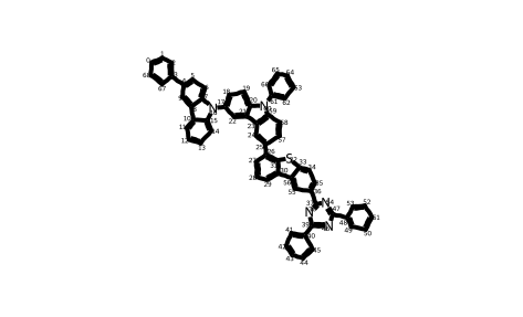 c1ccc(-c2ccc3c(c2)c2ccccc2n3-c2ccc3c(c2)c2cc(-c4cccc5c4sc4ccc(-c6nc(-c7ccccc7)nc(-c7ccccc7)n6)cc45)ccc2n3-c2ccccc2)cc1